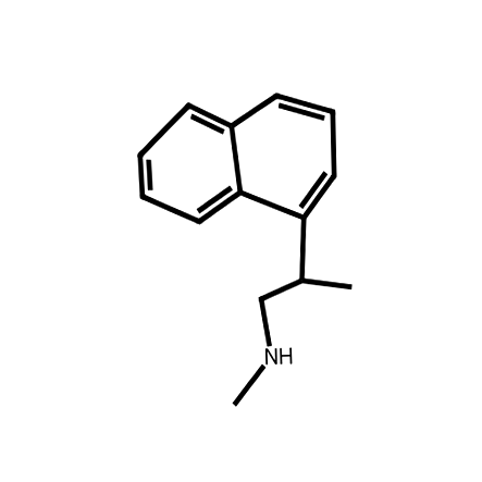 CNCC(C)c1cccc2ccccc12